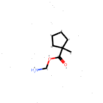 CC1(C(=O)OCN)CCCC1